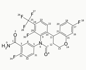 NC(=O)c1cc(N(C=O)c2c(C3CCOc4cc(F)ccc43)ccc(C(F)(F)F)c2F)ccc1F